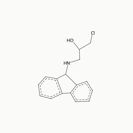 OC(CCl)CNC1c2ccccc2-c2ccccc21